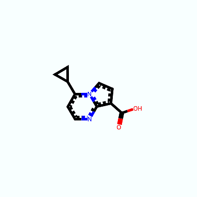 O=C(O)c1ccn2c(C3CC3)ccnc12